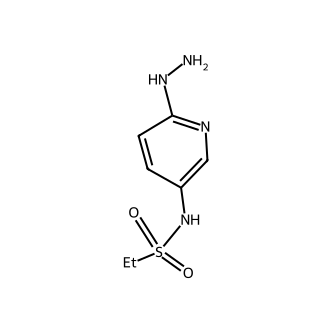 CCS(=O)(=O)Nc1ccc(NN)nc1